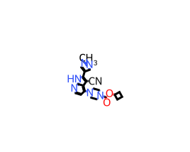 Cn1cc(-c2[nH]c3nccc(N4CCN(C(=O)OC5CCC5)CC4)c3c2C#N)cn1